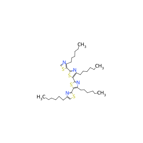 CCCCCCc1csc(-c2sc(-c3sc(-c4scnc4CCCCCC)nc3CCCCCC)nc2CCCCCC)n1